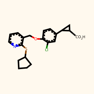 O=C(O)C1CC1c1ccc(OCc2cccnc2SC2CCCC2)c(Cl)c1